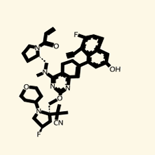 C#Cc1c(F)ccc2cc(O)cc(C3=Cc4nc(OC[C@]5(C(C)(C)C#N)C[C@@H](F)CN5C5CCOCC5)nc(N(C)C[C@@H]5CCCN5C(=O)C=C)c4CC3)c12